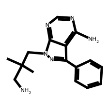 CC(C)(CN)Cn1nc(-c2ccccc2)c2c(N)ncnc21